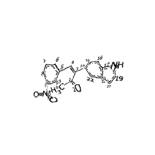 CC(=O)/C(=C\c1cccc([N+](=O)[O-])c1)c1ccc2[nH]ccc2c1